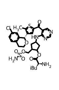 CC[C@H](C)[C@H](N)C(=O)OC1CC(Nc2ncncc2C(=O)c2cc([C@@H]3OCCc4ccc(Cl)cc43)c(C)s2)CC1COS(N)(=O)=O